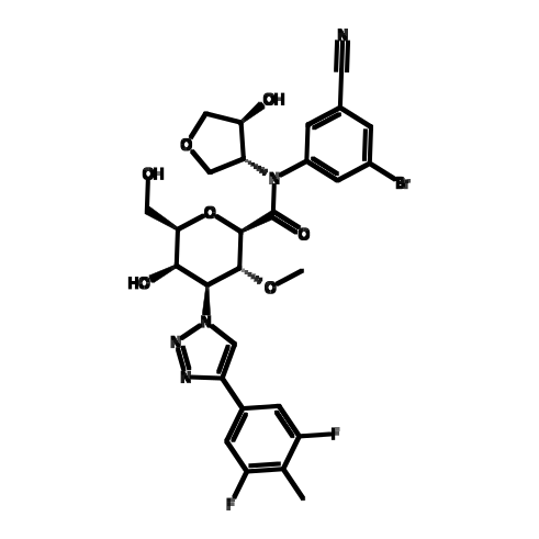 CO[C@@H]1[C@@H](n2cc(-c3cc(F)c(C)c(F)c3)nn2)[C@@H](O)[C@@H](CO)O[C@H]1C(=O)N(c1cc(Br)cc(C#N)c1)[C@@H]1COC[C@H]1O